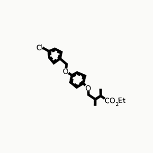 CCOC(=O)C(C)C(C)COc1ccc(OCc2ccc(Cl)cc2)cc1